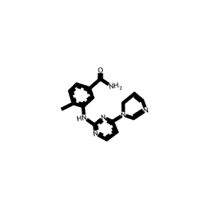 Cc1ccc(C(N)=O)cc1Nc1nccc(N2C=NC=CC2)n1